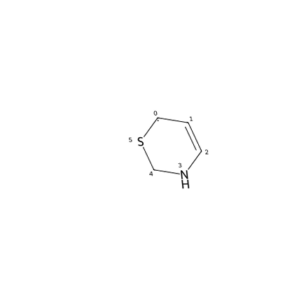 [CH]1C=CNCS1